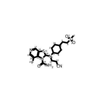 CS(=O)(=O)CCC1CCC(N(CCC#N)C2Sc3[c]ncc(F)c3N2C(N)=O)CC1